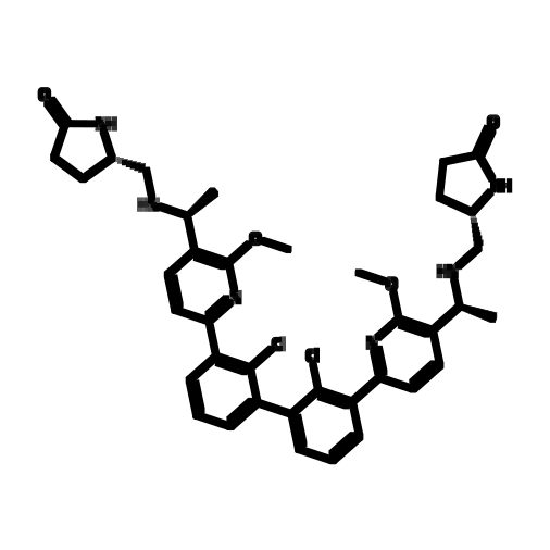 COc1nc(-c2cccc(-c3cccc(-c4ccc([C@H](C)NC[C@@H]5CCC(=O)N5)c(OC)n4)c3Cl)c2Cl)ccc1[C@H](C)NC[C@@H]1CCC(=O)N1